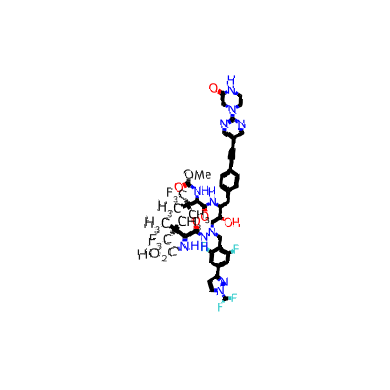 COC(=O)NC(C(=O)NC(Cc1ccc(C#Cc2cnc(N3CCNC(=O)C3)nc2)cc1)C(O)CN(Cc1c(F)cc(-c2ccn(C(F)F)n2)cc1F)NC(=O)C(NC(=O)O)C(C)(C)C(F)(F)F)C(C)(C)C(F)(F)F